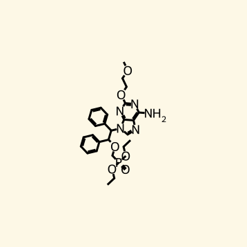 CCOP(=O)(COC(c1ccccc1)C(c1ccccc1)n1cnc2c(N)nc(OCCOC)nc21)OCC